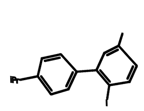 Cc1ccc(I)c(-c2ccc(C(C)C)cc2)c1